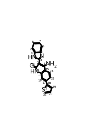 Nc1c(-c2nc3ccccc3[nH]2)c(=O)[nH]c2cc(-c3cccs3)ccc12